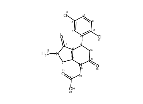 CN1CC2=C(C1=O)C(c1cc(Cl)ccc1Cl)CC(=O)N2CC(=O)O